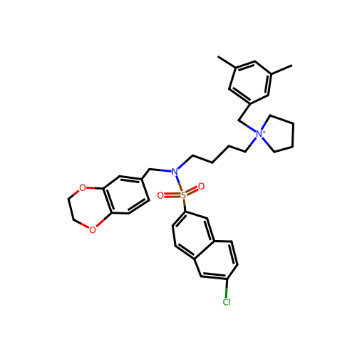 Cc1cc(C)cc(C[N+]2(CCCCN(Cc3ccc4c(c3)OCCO4)S(=O)(=O)c3ccc4cc(Cl)ccc4c3)CCCC2)c1